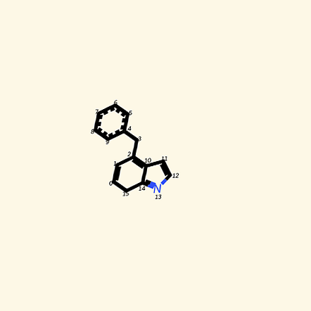 C1=CC(Cc2ccccc2)=C2C=CN=C2C1